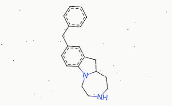 c1ccc(Cc2ccc3c(c2)CC2CCNCCN32)cc1